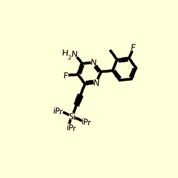 Cc1c(F)cccc1-c1nc(N)c(F)c(C#C[Si](C(C)C)(C(C)C)C(C)C)n1